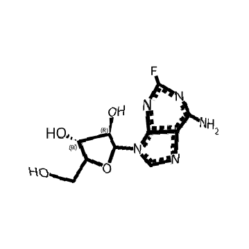 Nc1nc(F)nc2c1ncn2C1OC(CO)[C@H](O)[C@H]1O